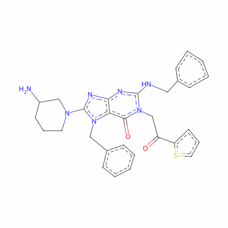 NC1CCCN(c2nc3nc(NCc4ccccc4)n(CC(=O)c4cccs4)c(=O)c3n2Cc2ccccc2)C1